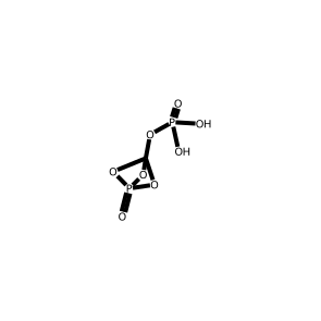 O=P(O)(O)OC12OP(=O)(O1)O2